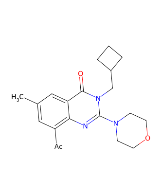 CC(=O)c1cc(C)cc2c(=O)n(CC3CCC3)c(N3CCOCC3)nc12